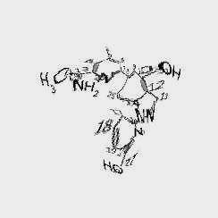 C[C@H](N)c1cccc(-c2cc(O)c3cnn(-c4cccc(CO)n4)c3c2)n1